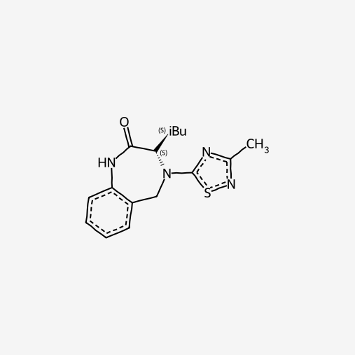 CC[C@H](C)[C@H]1C(=O)Nc2ccccc2CN1c1nc(C)ns1